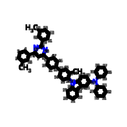 Cc1cccc(-c2cc(-c3ccc(-c4ccc(-n5c6ccccc6c6cc(N(c7ccccc7)c7ccccc7)ccc65)c(C)c4)cc3)nc(-c3cccc(C)c3)n2)c1